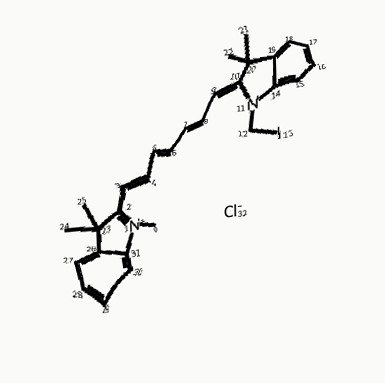 C[N+]1=C(C=CC=CC=CC=C2N(CI)c3ccccc3C2(C)C)C(C)(C)c2ccccc21.[Cl-]